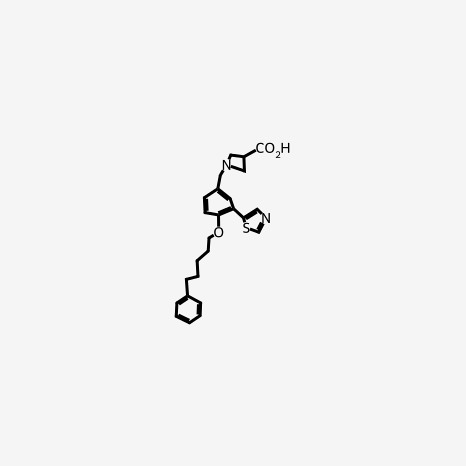 O=C(O)C1CN(Cc2ccc(OCCCCCc3ccccc3)c(-c3cncs3)c2)C1